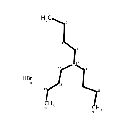 Br.CCC[CH2][Al]([CH2]CCC)[CH2]CCC